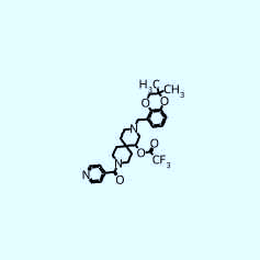 CC1(C)COc2c(CN3CCC4(CCN(C(=O)c5ccncc5)CC4)C(OC(=O)C(F)(F)F)C3)cccc2O1